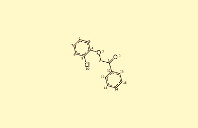 O=C(COc1[c]cccc1Cl)c1ccccc1